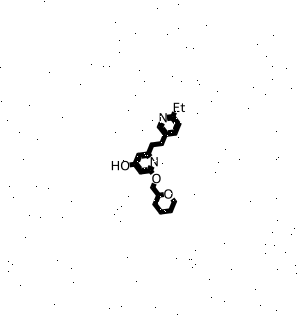 CCc1ccc(CCc2cc(O)cc(OCC3CCCCO3)n2)cn1